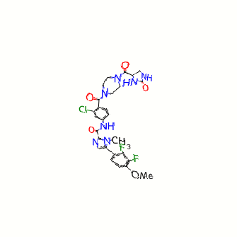 COc1ccc(-c2cnc(C(=O)Nc3ccc(C(=O)N4CCN(C(=O)C5CNC(=O)N5)CC4)c(Cl)c3)n2C)c(F)c1F